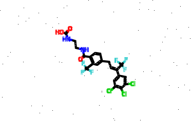 O=C(O)NCCNC(=O)c1ccc(CC=C(c2cc(Cl)c(Cl)c(Cl)c2)C(F)(F)F)cc1C(F)(F)F